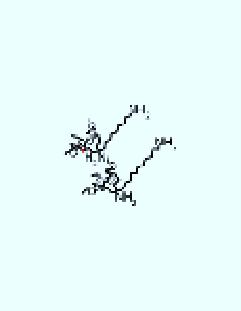 CCO[Si](C)(CCCC(N)(CCCCCCCCCCCN)CCC[Si](C)(OCC)OCC)OCC.CCO[Si](C)(CCCC(N)(CCCCCCCCCN)CCC[Si](C)(OCC)OCC)OCC